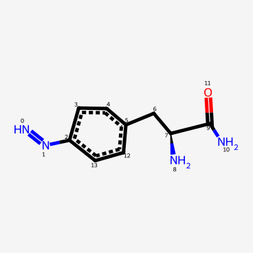 N=Nc1ccc(C[C@H](N)C(N)=O)cc1